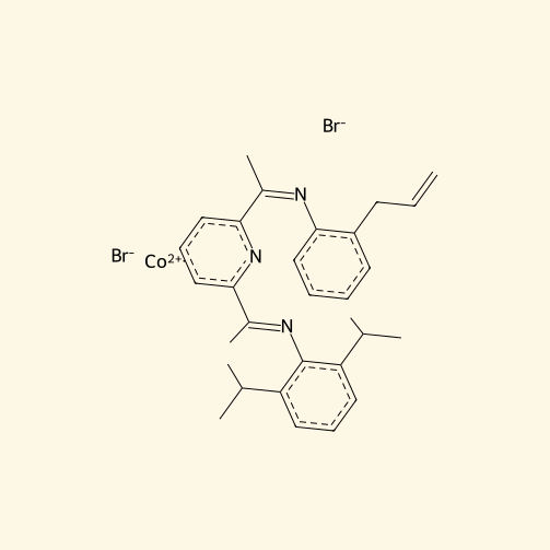 C=CCc1ccccc1N=C(C)c1cccc(C(C)=Nc2c(C(C)C)cccc2C(C)C)n1.[Br-].[Br-].[Co+2]